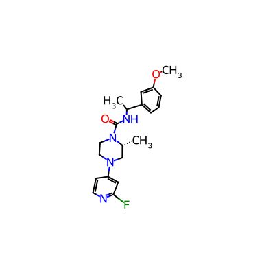 COc1cccc(C(C)NC(=O)N2CCN(c3ccnc(F)c3)C[C@H]2C)c1